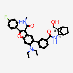 CCN(CC)c1cc2oc(-c3ccc(F)cc3)c(C(=O)NC)c2cc1-c1cccc(C(=O)N[C@@H]2C3CCC(C3)[C@@H]2CO)c1